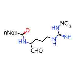 CCCCCCCCCC(=O)NC(C=O)CCCNC(=N)N[N+](=O)[O-]